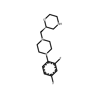 Fc1ccc(N2CCN(C[C@@H]3CNCCO3)CC2)c(F)c1